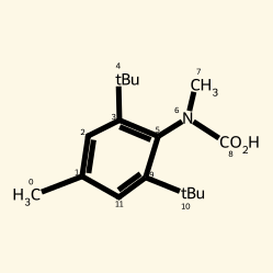 Cc1cc(C(C)(C)C)c(N(C)C(=O)O)c(C(C)(C)C)c1